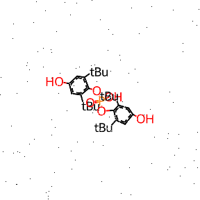 CC(C)(C)c1cc(O)cc(C(C)(C)C)c1OP(=O)(O)Oc1c(C(C)(C)C)cc(O)cc1C(C)(C)C